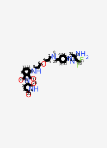 CN(CCCOCCCNc1cccc2c1C(=O)N(C1CCC(=O)NC1=O)C2=O)CC1CCC(n2cc(N)c(C(F)F)n2)CC1